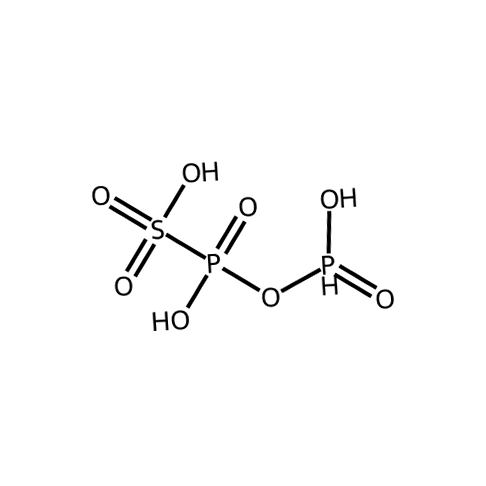 O=[PH](O)OP(=O)(O)S(=O)(=O)O